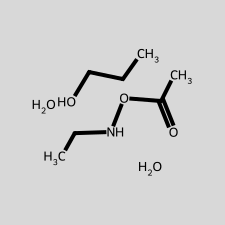 CCCO.CCNOC(C)=O.O.O